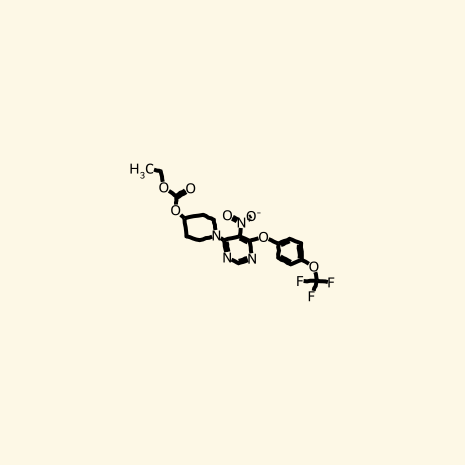 CCOC(=O)OC1CCN(c2ncnc(Oc3ccc(OC(F)(F)F)cc3)c2[N+](=O)[O-])CC1